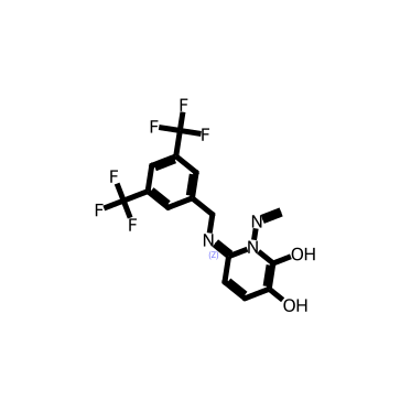 C=Nn1c(O)c(O)cc/c1=N/Cc1cc(C(F)(F)F)cc(C(F)(F)F)c1